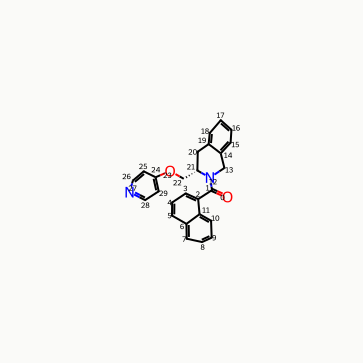 O=C(c1cccc2ccccc12)N1Cc2ccccc2C[C@H]1COc1ccncc1